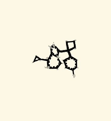 Clc1ccc(C2(c3nnc4c(C5CC5)nccn34)CCC2)cc1